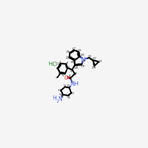 Cc1cccc(C(CC(=O)NC2CCC(N)CC2)c2cn(CC3CC3)c3ccccc23)c1.Cl